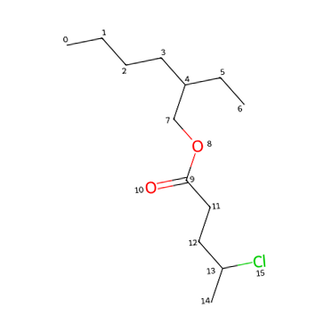 CCCCC(CC)COC(=O)CCC(C)Cl